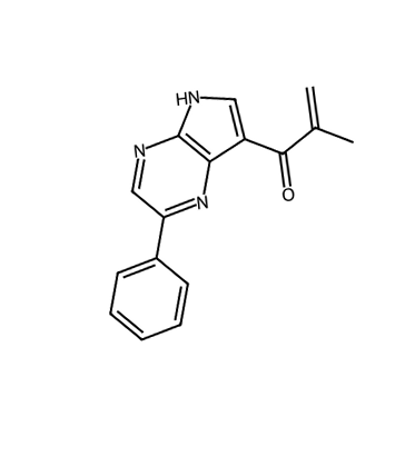 C=C(C)C(=O)c1c[nH]c2ncc(-c3ccccc3)nc12